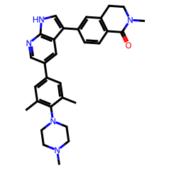 Cc1cc(-c2cnc3[nH]cc(-c4ccc5c(c4)CCN(C)C5=O)c3c2)cc(C)c1N1CCN(C)CC1